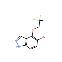 FC(F)(F)COc1c(Br)ccc2[nH]ncc12